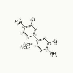 CCc1cc(-c2ccc(N)c(CC)c2)ccc1N.Cl.Cl